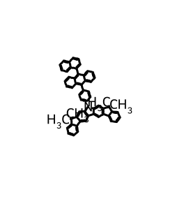 CC1(C)c2ccccc2-c2cc3c4cc5c(cc4n(-c4ccc(-c6c7ccccc7c(-c7cccc8ccccc78)c7ccccc67)cc4)c3cc21)C(C)(C)c1ccccc1-5